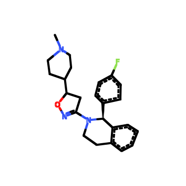 CN1CCC(C2CC(N3CCc4ccccc4[C@@H]3c3ccc(F)cc3)=NO2)CC1